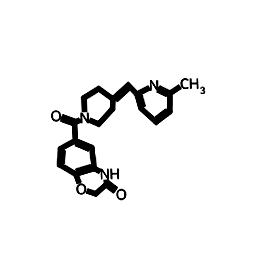 Cc1cccc(C=C2CCN(C(=O)c3ccc4c(c3)NC(=O)CO4)CC2)n1